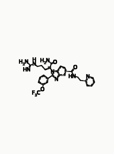 N=C(N)NCCC[C@@H](C(N)=O)n1c(-c2cccc(OC(F)(F)F)c2)nc2cc(C(=O)NCCc3ccccn3)ccc21